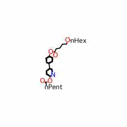 CCCCCCOCCCCC1Oc2ccc(-c3ccc(OC(=O)CCCCC)nc3)cc2O1